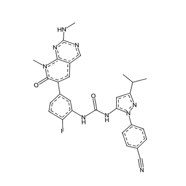 CNc1ncc2cc(-c3ccc(F)c(NC(=O)Nc4cc(C(C)C)nn4-c4ccc(C#N)cc4)c3)c(=O)n(C)c2n1